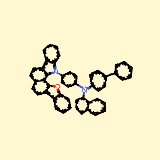 c1ccc(-c2ccc(N(c3ccc(-n4c5ccccc5c5ccc6ccc7c8ccccc8oc7c6c54)cc3)c3cccc4ccccc34)cc2)cc1